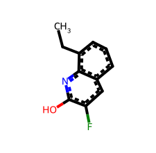 CCc1cccc2cc(F)c(O)nc12